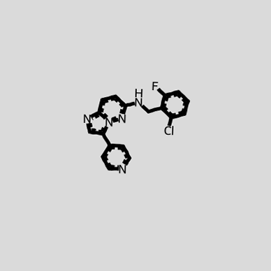 Fc1cccc(Cl)c1CNc1ccc2ncc(-c3ccncc3)n2n1